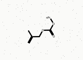 [CH2]CCOC(=O)OCC(=C)C